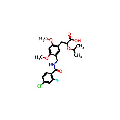 COc1cc(OC)c(CC(OC(C)C)C(=O)O)cc1CNC(=O)c1ccc(Cl)cc1F